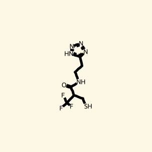 O=C(NCCc1nnn[nH]1)C(CS)C(F)(F)F